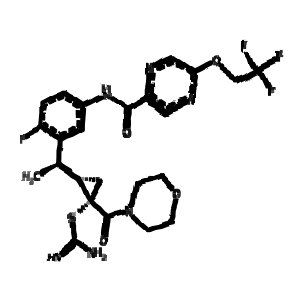 C[C@@H](c1cc(NC(=O)c2cnc(OCC(F)(F)F)cn2)ccc1F)[C@@H]1C[C@@]1(SC(=N)N)C(=O)N1CCOCC1